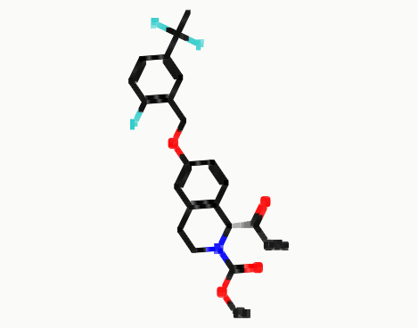 COC(=O)[C@H]1c2ccc(OCc3cc(C(C)(F)F)ccc3F)cc2CCN1C(=O)OC(C)(C)C